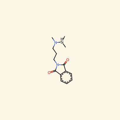 CN(CCCN1C(=O)c2ccccc2C1=O)[SiH](C)C